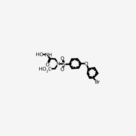 O=C(O)CN(CC(=O)NO)S(=O)(=O)c1ccc(Oc2ccc(Br)cc2)cc1